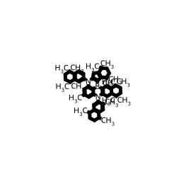 Cc1cc2c3c(c1)N(c1cc4c(cc1C)C(C)CCC4C)C1=C(C=C4C(C1)C(C)(C)CCC4(C)C)B3C1=C(CC3=C1C(C)(C)CCC3(C)C)N2c1ccc2c(c1)C(C)(C)CCC2(C)C